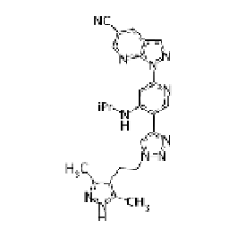 Cc1n[nH]c(C)c1CCn1cc(-c2cnc(-n3ncc4cc(C#N)cnc43)cc2NC(C)C)nn1